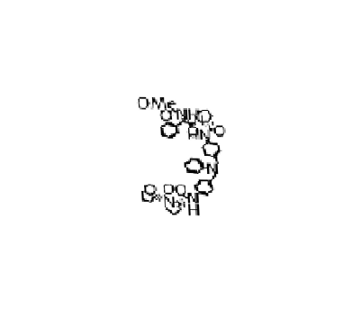 COC(=O)N[C@@H](C(=O)N1CCC[C@H]1C(=O)Nc1ccc(CN(Cc2ccc(NC(=O)[C@@H]3CCCN3C(=O)[C@@H]3CCCO3)cc2)c2ccccc2)cc1)c1ccccc1